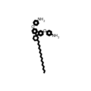 CCCCCCCCCCCCCCCCC1CCCC(c2ccc(Oc3ccc(N)cc3)cc2)(c2ccc(Oc3ccc(N)cc3)cc2)C1